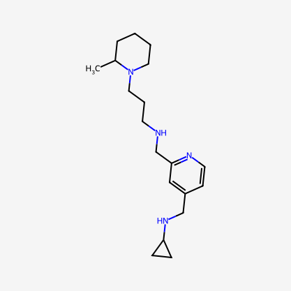 CC1CCCCN1CCCNCc1cc(CNC2CC2)ccn1